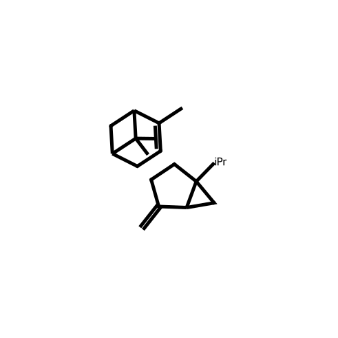 C=C1CCC2(C(C)C)CC12.CC1=CCC2CC1C2(C)C